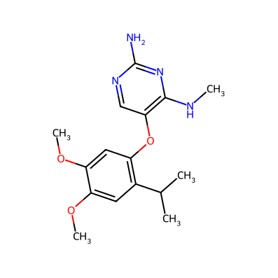 CNc1nc(N)ncc1Oc1cc(OC)c(OC)cc1C(C)C